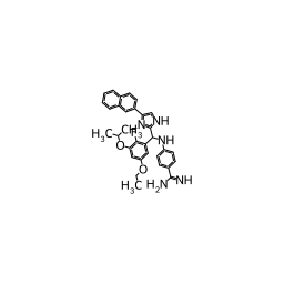 CCOc1cc(OC(C)C)c(F)c(C(Nc2ccc(C(=N)N)cc2)c2nc(-c3ccc4ccccc4c3)c[nH]2)c1